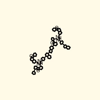 c1ccc(-c2cccc3c2oc2cccc(-c4nc(-c5ccc(-c6ccc(-c7ccc8cc(-c9cccc%10c9oc9cccc(-c%11nc(-c%12ccc(-c%13ccc%14ccccc%14c%13)cc%12)nc(-c%12ccc%13ccc%14oc%15ccccc%15c%14c%13c%12)n%11)c9%10)ccc8c7)c7ccccc67)cc5)nc(-c5ccc6ccc7oc8ccccc8c7c6c5)n4)c23)cc1